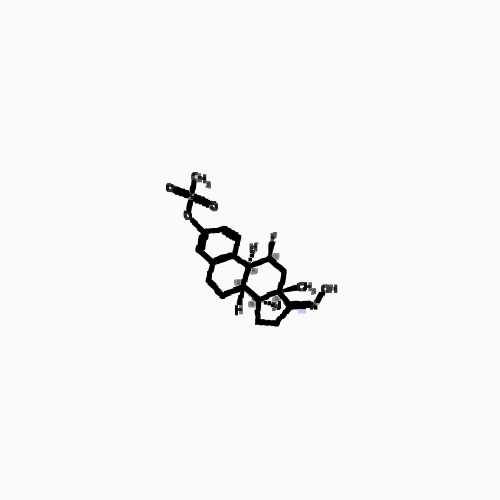 C[C@]12C[C@H](F)[C@@H]3c4ccc(OS(C)(=O)=O)cc4CC[C@H]3[C@@H]1CC/C2=N/O